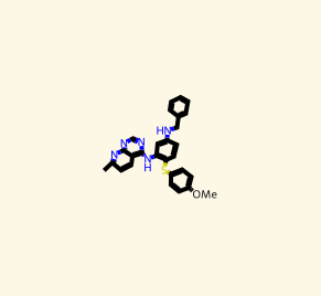 COc1ccc(Sc2ccc(NCc3ccccc3)cc2Nc2ncnc3nc(C)ccc23)cc1